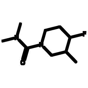 CC1CN(C(=O)N(C)C)CCC1F